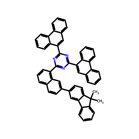 CC1(C)c2ccccc2-c2cc(-c3ccc4cccc(-c5nc(-c6cc7ccccc7c7ccccc67)nc(-c6cc7ccccc7c7ccccc67)n5)c4c3)ccc21